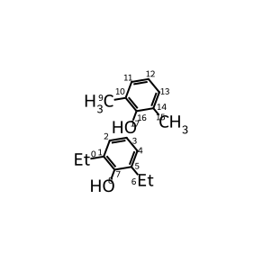 CCc1cccc(CC)c1O.Cc1cccc(C)c1O